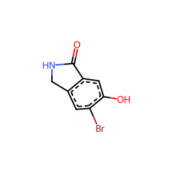 O=C1NCc2cc(Br)c(O)cc21